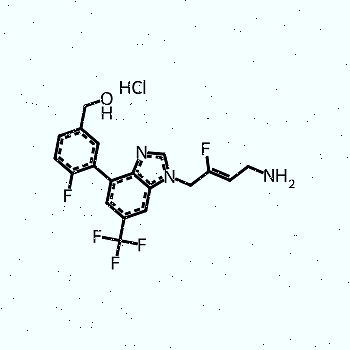 Cl.NC/C=C(\F)Cn1cnc2c(-c3cc(CO)ccc3F)cc(C(F)(F)F)cc21